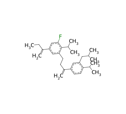 C=C(CC)c1cc(F)c(C(C)C)c(CCC(=C)c2ccc(C(C)C)c(CC(C)C)c2)c1